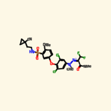 CNC(=O)/C(=N\N(C=O)c1cc(Cl)c(Oc2ccc(OC)c(S(=O)(=O)NCCC3(C#N)CC3)c2)c(Cl)c1)C(F)F